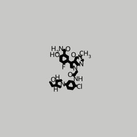 Cn1cnc2c(c(-c3cc(C(N)=O)c(O)cc3F)cn2CC(=O)Nc2cc(N3C[C@H]4CCO[C@H]4C3)ccc2Cl)c1=O